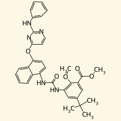 COC(=O)c1cc(C(C)(C)C)cc(NC(=O)Nc2ccc(Oc3ccnc(Nc4ccccc4)n3)c3ccccc23)c1OC